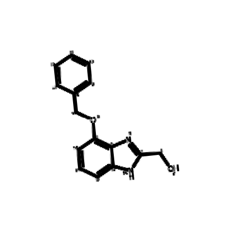 OCc1nc2c(OCc3ccccc3)cccc2[nH]1